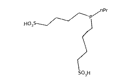 CCCP(CCCCS(=O)(=O)O)CCCCS(=O)(=O)O